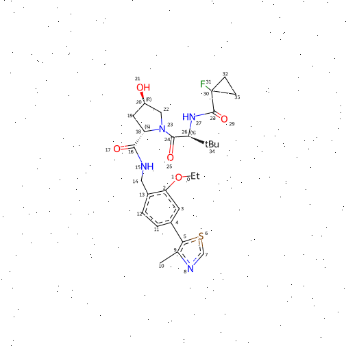 CCOc1cc(-c2scnc2C)ccc1CNC(=O)[C@@H]1C[C@@H](O)CN1C(=O)[C@@H](NC(=O)C1(F)CC1)C(C)(C)C